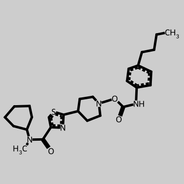 CCCCc1ccc(NC(=O)ON2CCC(c3nc(C(=O)N(C)C4CCCCC4)cs3)CC2)cc1